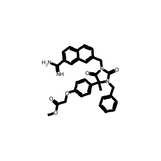 COC(=O)COc1ccc(C2(C)C(=O)N(Cc3ccc4ccc(C(=N)N)cc4c3)C(=O)N2Cc2ccccc2)cc1